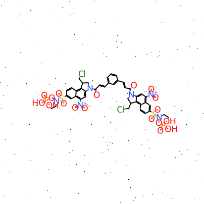 CCN(OP(=O)(O)O)S(=O)(=O)c1ccc2c3c(cc([N+](=O)[O-])c2c1)N(C(=O)C=Cc1cccc(C=CC(=O)N2CC(CCl)c4c2cc([N+](=O)[O-])c2cc(S(=O)(=O)N(CC)OP(=O)(O)O)ccc42)c1)CC3CCl